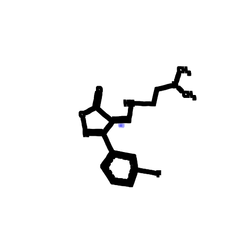 CN(C)CCN/C=C1\C(=O)ON=C1c1cccc(F)c1